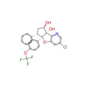 O[C@@H]1C[C@@H](c2ccccc2)[C@]2(c3ccc(OC(F)(F)F)cc3)Oc3cc(Cl)cnc3[C@]12O